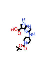 CC(C)(C)OC(=O)N1CCC(Nc2cnc3[nH]cc(C(=O)O)c3n2)CC1